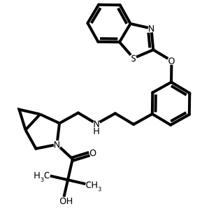 CC(C)(O)C(=O)N1CC2CC2C1CNCCc1cccc(Oc2nc3ccccc3s2)c1